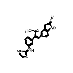 O=C=C1Cc2cc(C=C(C(=O)O)c3cccc(NC4=NCCN4)c3)ccc2N1